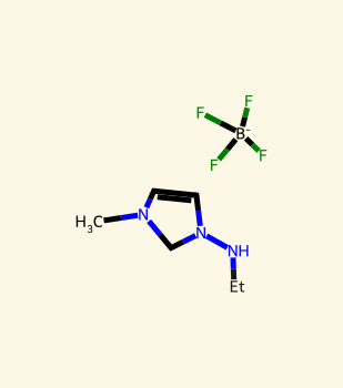 CCNN1C=CN(C)C1.F[B-](F)(F)F